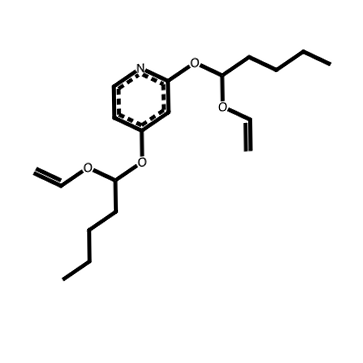 C=COC(CCCC)Oc1ccnc(OC(CCCC)OC=C)c1